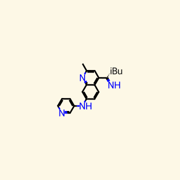 [CH2][C@@H](CC)C(=N)c1cc(C)nc2cc(Nc3cccnc3)ccc12